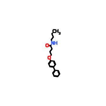 CCCCNC(=O)CCCOc1ccc(-c2ccccc2)cc1